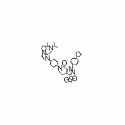 COc1ccc(-n2nc(S(C)(=O)=O)c3c2C(=O)N(c2ccc(-n4ccnc4CN(C(C)=O)C(C)C)cc2)CC3)cc1